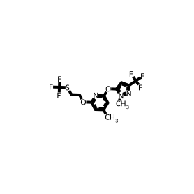 Cc1cc(OCCSC(F)(F)F)nc(Oc2cc(C(F)(F)F)nn2C)c1